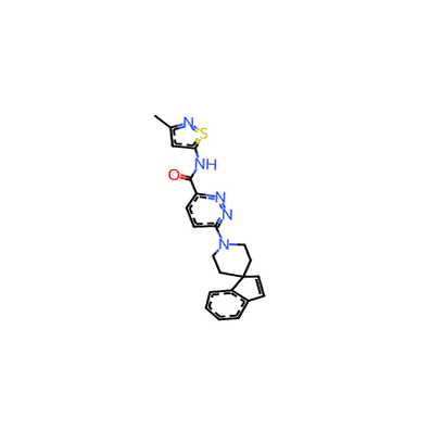 Cc1cc(NC(=O)c2ccc(N3CCC4(C=Cc5ccccc54)CC3)nn2)sn1